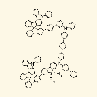 CC1(C)c2cc(-c3ccc4c(c3)C3(c5ccccc5-4)c4ccccc4-c4c3ccc3c4c4ccccc4n3-c3ccccc3)ccc2-c2ccc(N(c3ccc(-c4ccccc4)cc3)c3ccc(-c4ccc(-c5ccc(N(c6ccccc6)c6cccc(-c7ccc(-c8ccc9c(c8)C8(c%10ccccc%10-9)c9ccccc9-c9c8ccc8c9c9ccccc9n8-c8ccccc8)cc7)c6)cc5)cc4)cc3)cc21